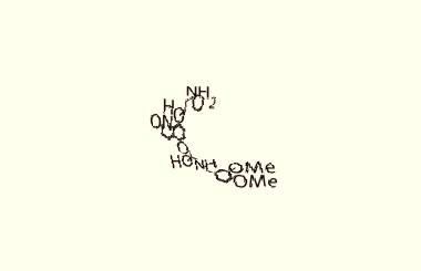 COc1ccc(CCNCC(O)COc2ccc(OCCC(N)=O)c3[nH]c(=O)ccc23)cc1OC